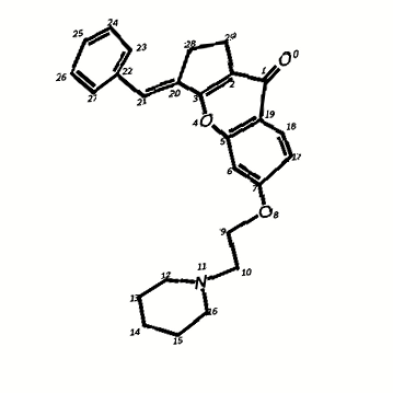 O=c1c2c(oc3cc(OCCN4CCCCC4)ccc13)C(=Cc1ccccc1)CC2